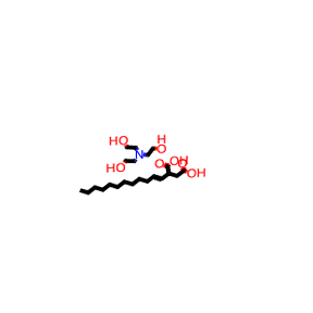 CCCCCCCCCC/C=C/C(CC(=O)O)C(=O)O.OCCN(CCO)CCO